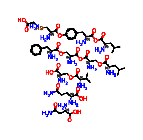 CC(C)C[C@H](N)C(=O)OC(=O)[C@@H](N)Cc1ccc(OC(=O)[C@@H](N)CS)cc1.CC(C)C[C@H](N)C(=O)OC[C@H](N)C(=O)OC(=O)[C@@H](N)COC(=O)[C@@H](N)Cc1ccccc1.CC(C)[C@H](N)C(=O)OC[C@H](N)C(=O)O.NC(=O)CC[C@H](N)C(=O)O.NC(=O)C[C@H](N)C(=O)O.NCC(=O)O